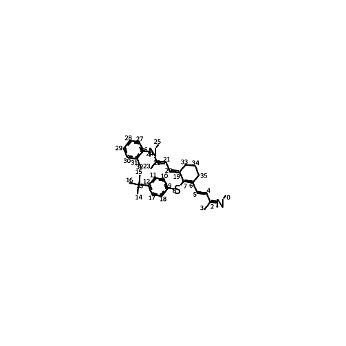 C/N=C(C)\C=C\C1=C(Sc2ccc(C(C)(C)C)cc2)C(=C/C=C(\C)N(C)c2ccccc2C)/CCC1